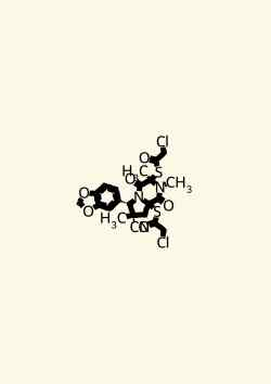 CN1C(=O)C2(SC(=O)CCl)C[C@](C)(C#N)[C@H](c3ccc4c(c3)OCO4)N2C(=O)[C@]1(C)SC(=O)CCl